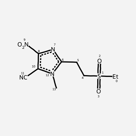 CCS(=O)(=O)CCc1nc([N+](=O)[O-])c(C#N)n1C